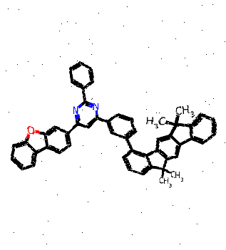 CC1(C)c2ccccc2-c2cc3c(cc21)-c1c(-c2cccc(-c4cc(-c5ccc6c(c5)oc5ccccc56)nc(-c5ccccc5)n4)c2)cccc1C3(C)C